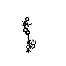 CC(C)(C)OC(=O)N1CCCC1c1ncc(C#Cc2ccc3cc(-c4cnc(C5CCCC5)[nH]4)ccc3c2)[nH]1